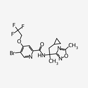 Cc1nc(C(C)(CC2CC2)NC(=O)c2cc(OCC(F)(F)F)c(Br)cn2)no1